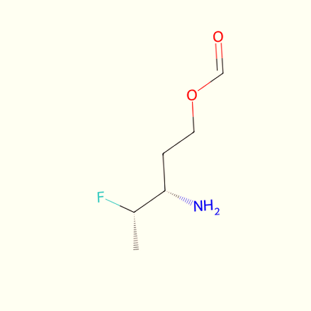 C[C@H](F)[C@@H](N)CCOC=O